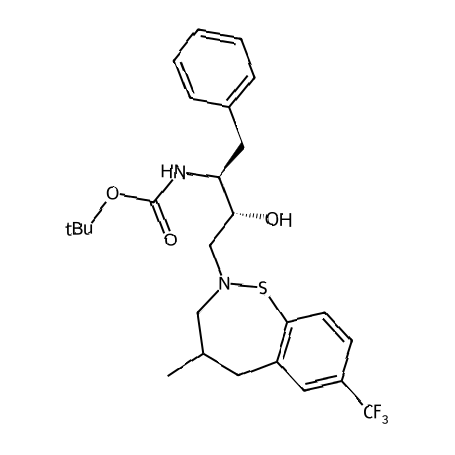 CC1Cc2cc(C(F)(F)F)ccc2SN(C[C@@H](O)[C@H](Cc2ccccc2)NC(=O)OC(C)(C)C)C1